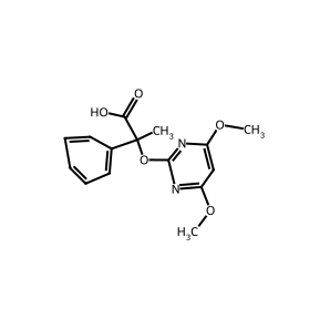 COc1cc(OC)nc(OC(C)(C(=O)O)c2ccccc2)n1